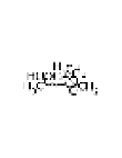 C=C(CC(CC)CCCC)C(=O)OCCCCC=C(C)C(=O)O